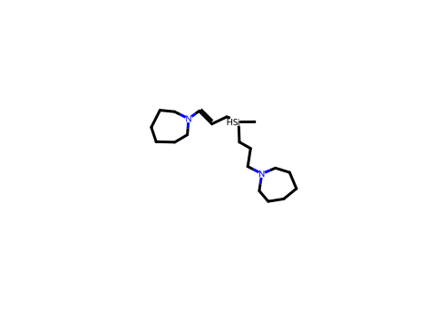 C[SiH](CC=CN1CCCCCC1)CCCN1CCCCCC1